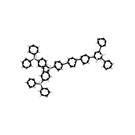 c1ccc(-c2cc(-c3ccc(-c4ccc(-c5ccc(-n6c7ccc(N(c8ccccc8)c8ccccc8)cc7c7cc(N(c8ccccc8)c8ccccc8)ccc76)cc5)cc4)cc3)nc(-c3ccccc3)n2)cc1